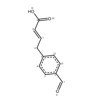 O=Cc1ccc(CC=CC(=O)O)cc1